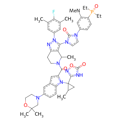 CCP(=O)(CC)c1ccc(-n2ccn(-c3c4c(nn3-c3cc(C)c(F)c(C)c3)CCN(C(=O)c3cc5cc(N6CCOC(C)(C)C6)ccc5n3C3(c5noc(=O)[nH]5)CC3C)C4C)c2=O)cc1NC